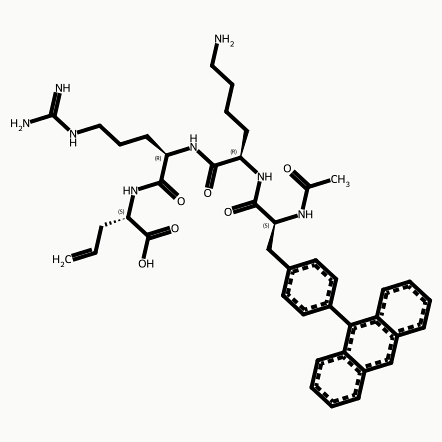 C=CC[C@H](NC(=O)[C@@H](CCCNC(=N)N)NC(=O)[C@@H](CCCCN)NC(=O)[C@H](Cc1ccc(-c2c3ccccc3cc3ccccc23)cc1)NC(C)=O)C(=O)O